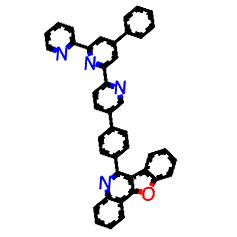 c1ccc(-c2cc(-c3ccccn3)nc(-c3ccc(-c4ccc(-c5nc6ccccc6c6oc7ccccc7c56)cc4)cn3)c2)cc1